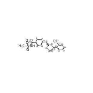 C[C@@H](NS(C)(=O)=O)c1ccc(CN2CCOC(c3ccccc3Cl)C2)cc1